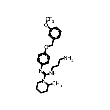 CC1CCCCN1/C(=N/c1ccc(OCc2cccc(OC(F)(F)F)c2)cc1)NCCCN